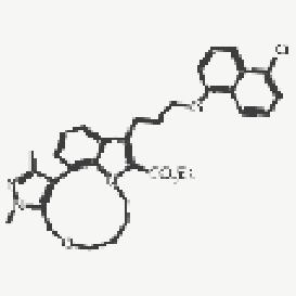 CCOC(=O)c1c(CCCOc2cccc3c(Cl)cccc23)c2cccc3c2n1CCCCOCc1c-3c(C)nn1C